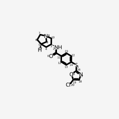 O=C(N[C@@H]1C[C@@H]2CCN(C2)C1)c1ccc(Sc2ncc(Cl)o2)cc1